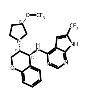 FC(F)(F)O[C@H]1CCN([C@H]2COc3ccccc3[C@@H]2Nc2ncnc3[nH]c(C(F)(F)F)cc23)C1